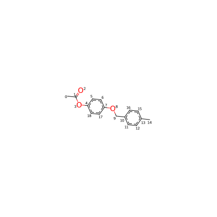 CC(=O)Oc1ccc(OCc2ccc(C)cc2)cc1